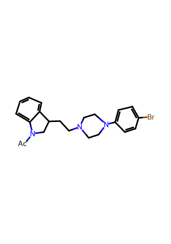 CC(=O)N1CC(CCN2CCN(c3ccc(Br)cc3)CC2)c2ccccc21